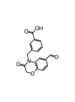 O=Cc1ccc2c(c1)N(Cc1cccc(C(=O)O)c1)C(=O)CO2